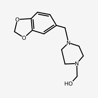 OCN1CCN(Cc2ccc3c(c2)OCO3)CC1